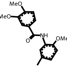 COc1ccc(C)cc1NC(=O)c1ccc(OC)c(OC)c1